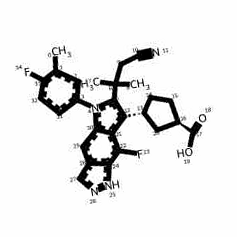 Cc1cc(-n2c(C(C)(C)CC#N)c([C@@H]3CC[C@@H](C(=O)O)C3)c3c(F)c4[nH]ncc4cc32)ccc1F